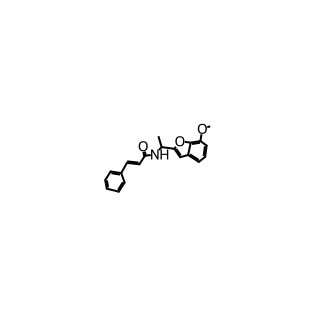 COc1cccc2cc(C(C)NC(=O)C=Cc3ccccc3)oc12